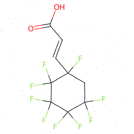 O=C(O)C=CC1(F)CC(F)(F)C(F)(F)C(F)(F)C1(F)F